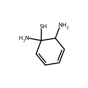 NC1C=CC=CC1(N)S